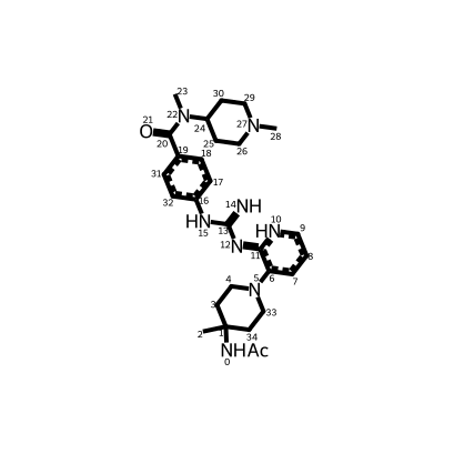 CC(=O)NC1(C)CCN(c2ccc[nH]/c2=N\C(=N)Nc2ccc(C(=O)N(C)C3CCN(C)CC3)cc2)CC1